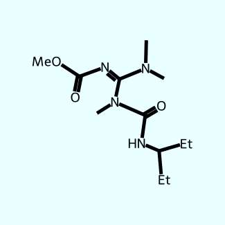 CCC(CC)NC(=O)N(C)/C(=N\C(=O)OC)N(C)C